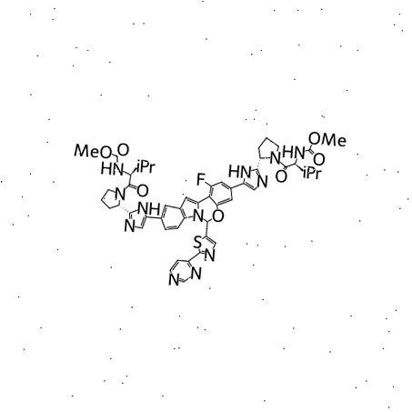 COC(=O)N[C@H](C(=O)N1CCC[C@H]1c1ncc(-c2cc(F)c3c(c2)OC(c2cnc(-c4ccncn4)s2)n2c-3cc3cc(-c4cnc([C@@H]5CCCN5C(=O)[C@@H](NC(=O)OC)C(C)C)[nH]4)ccc32)[nH]1)C(C)C